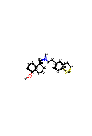 COc1cccc2c1CCCC2CN(C)CCc1ccc2c(c1)CCSS2